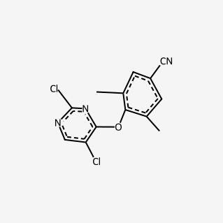 Cc1cc(C#N)cc(C)c1Oc1nc(Cl)ncc1Cl